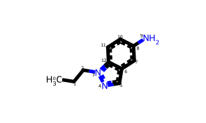 CCCn1ncc2cc(N)ccc21